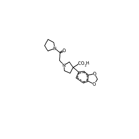 O=C(CN1CCC(C(=O)O)(c2ccc3c(c2)OCO3)C1)N1CCCC1